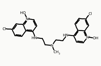 CN(CCNc1cc[n+](O)c2cc(Cl)ccc12)CCNc1cc[n+](O)c2cc(Cl)ccc12